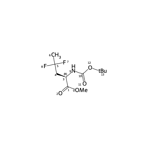 COC(=O)[C@@H](CC(C)(F)F)NC(=O)OC(C)(C)C